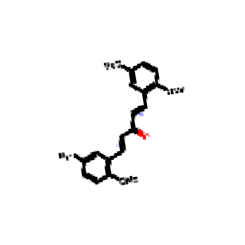 COc1ccc(OC)c(/C=C/C(=O)/C=C/c2cc(C)ccc2OC)c1